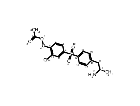 CC(=O)OOc1ccc(S(=O)(=O)c2ccc(C[C@@H](C)N)cc2)cc1Cl